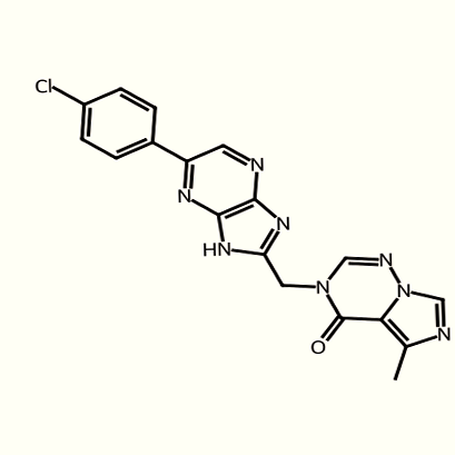 Cc1ncn2ncn(Cc3nc4ncc(-c5ccc(Cl)cc5)nc4[nH]3)c(=O)c12